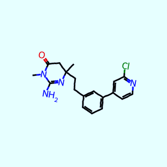 CN1C(=O)CC(C)(CCc2cccc(-c3ccnc(Cl)c3)c2)N=C1N